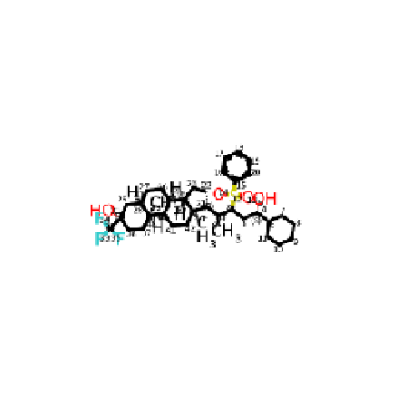 C[C@H](C(C[C@H](O)C1CCCCC1)S(=O)(=O)c1ccccc1)[C@H]1CC[C@H]2[C@@H]3CC[C@H]4C[C@](O)(C(F)(F)F)CC[C@]4(C)[C@H]3CC[C@]12C